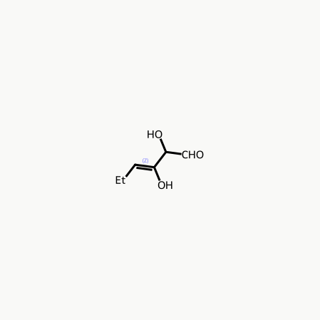 CC/C=C(\O)C(O)C=O